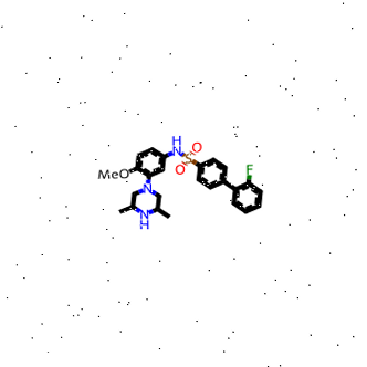 COc1ccc(NS(=O)(=O)c2ccc(-c3ccccc3F)cc2)cc1N1CC(C)NC(C)C1